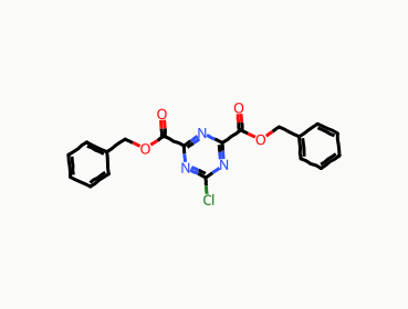 O=C(OCc1ccccc1)c1nc(Cl)nc(C(=O)OCc2ccccc2)n1